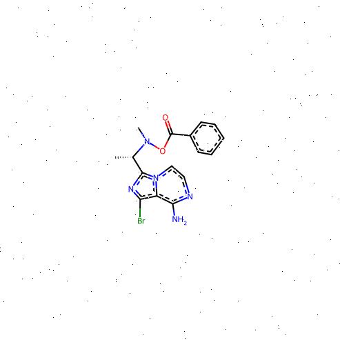 C[C@@H](c1nc(Br)c2c(N)nccn12)N(C)OC(=O)c1ccccc1